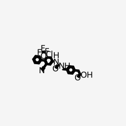 N#CC1=C(c2ccccc2)C(Cl)(OC(F)(F)F)CC(NC(=O)NCc2ccc(CC(=O)O)cc2)=C1